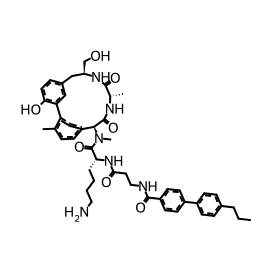 CCCc1ccc(-c2ccc(C(=O)NCCC(=O)N[C@H](CCCCN)C(=O)N(C)[C@@H]3C(=O)N[C@@H](C)C(=O)N[C@H](CO)Cc4ccc(O)c(c4)-c4cc3ccc4C)cc2)cc1